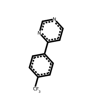 FC(F)(F)c1ccc(-c2ccncn2)cc1